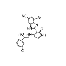 N#Cc1cc(Br)c2nc(-c3c(NCC(O)c4cccc(Cl)c4)cc[nH]c3=O)[nH]c2c1